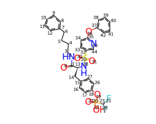 O=C(NCCCCc1ccccc1)[C@H](Cc1ccc(OP(=O)(O)C(F)F)cc1)NS(=O)(=O)c1ccc(Oc2ccccc2)nc1